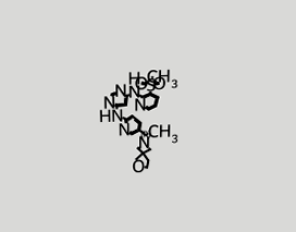 C[C@H](c1ccc(Nc2cc(Nc3ncccc3S(C)(=O)=O)ncn2)nc1)N1CC2(CCOC2)C1